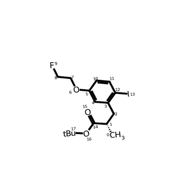 C[C@@H](Cc1cc(OCCF)ccc1I)C(=O)OC(C)(C)C